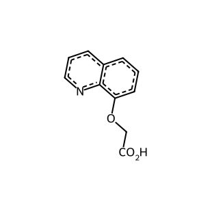 O=C(O)COc1cccc2cccnc12